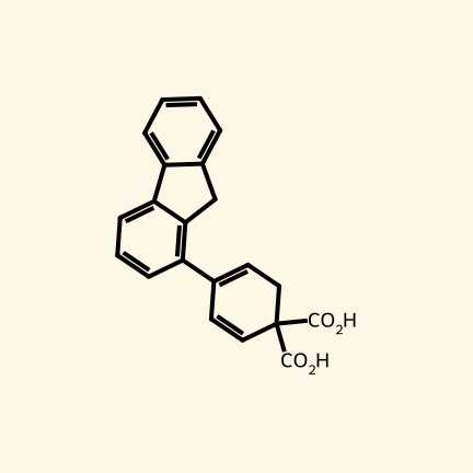 O=C(O)C1(C(=O)O)C=CC(c2cccc3c2Cc2ccccc2-3)=CC1